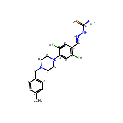 Cc1ccc(CN2CCN(c3cc(F)c(/C=N/NC(N)=S)cc3F)CC2)cc1